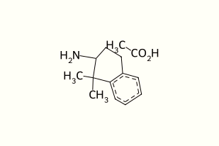 CC(=O)O.CC1(C)c2ccccc2CCC1N